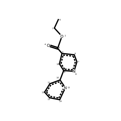 CCOC(=O)c1ccnc(-c2ccccn2)c1